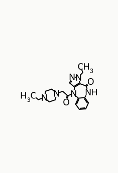 CCN1CCN(CC(=O)N2c3ccccc3NC(=O)c3c2cnn3CC)CC1